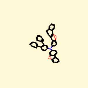 c1ccc(-c2ccc(N(c3ccc4c(c3)oc3ccccc34)c3ccc4oc5c6ccccc6ccc5c4c3)cc2-c2ccccc2)cc1